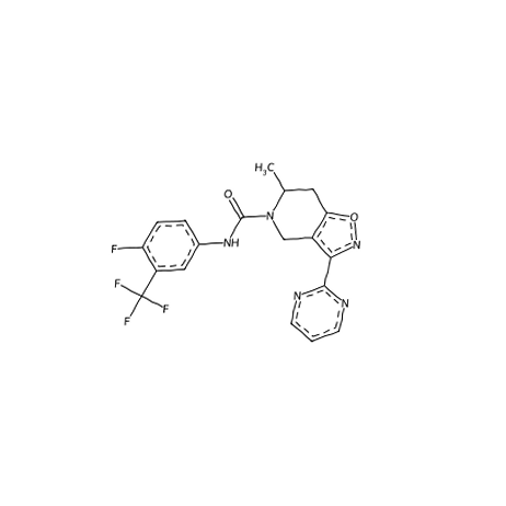 CC1Cc2onc(-c3ncccn3)c2CN1C(=O)Nc1ccc(F)c(C(F)(F)F)c1